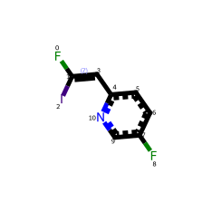 F/C(I)=C/c1ccc(F)cn1